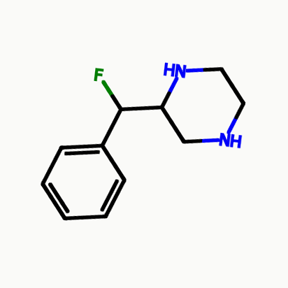 FC(c1ccccc1)C1CNCCN1